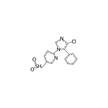 O=[SH](=O)Cc1ccc(-n2cnc(Cl)c2-c2ccccc2)nc1